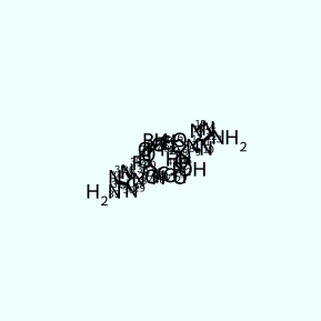 BP1(=O)OC[C@H]2O[C@@H](n3cnc4c(N)ncnc43)[C@H](OP(=O)(O)OC[C@H]3O[C@@H](n4cnc5c(N)ncnc54)[C@H](F)[C@@H]3O1)[C@@H]2F